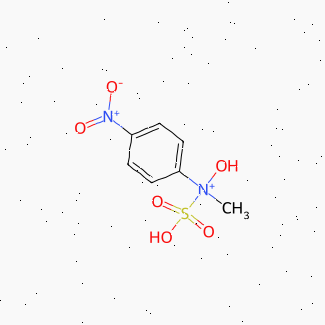 C[N+](O)(c1ccc([N+](=O)[O-])cc1)S(=O)(=O)O